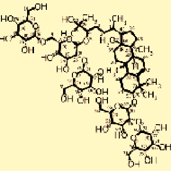 CC(CCC(O[C@@H]1O[C@H](CO[C@@H]2O[C@H](CO)[C@@H](O)[C@H](O)[C@H]2O)[C@@H](O)[C@H](O)[C@H]1O[C@@H]1O[C@H](CO)[C@@H](O)[C@H](O)[C@H]1O)C(C)(C)O)[C@H]1CC[C@@]2(C)[C@@H]3CC=C4C(CC[C@H](O[C@@H]5O[C@H](CO)[C@@H](O)[C@H](O)[C@H]5O[C@@H]5O[C@H](CO)[C@@H](O)[C@H](O)[C@H]5O)C4(C)C)[C@]3(C)CC[C@]12C